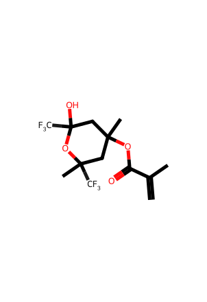 C=C(C)C(=O)OC1(C)CC(C)(C(F)(F)F)OC(O)(C(F)(F)F)C1